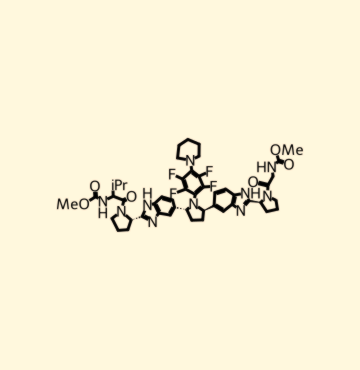 COC(=O)NCC(=O)N1CCC[C@H]1c1nc2cc([C@H]3CC[C@H](c4ccc5[nH]c([C@@H]6CCCN6C(=O)C(NC(=O)OC)C(C)C)nc5c4)N3c3c(F)c(F)c(N4CCCCC4)c(F)c3F)ccc2[nH]1